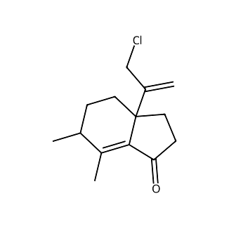 C=C(CCl)C12CCC(=O)C1=C(C)C(C)CC2